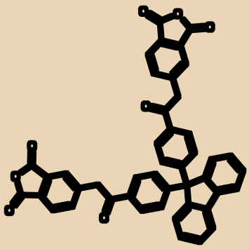 O=C(Cc1ccc2c(c1)C(=O)OC2=O)c1ccc(C2(c3ccc(C(=O)Cc4ccc5c(c4)C(=O)OC5=O)cc3)c3ccccc3-c3ccccc32)cc1